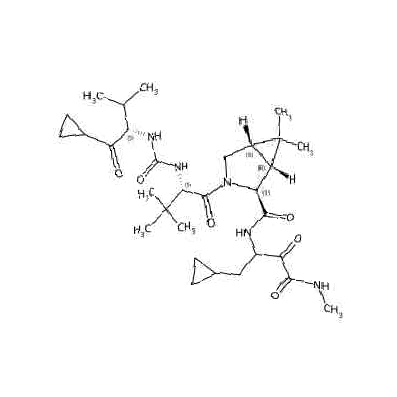 CNC(=O)C(=O)C(CC1CC1)NC(=O)[C@@H]1[C@@H]2[C@H](CN1C(=O)[C@@H](NC(=O)N[C@H](C(=O)C1CC1)C(C)C)C(C)(C)C)C2(C)C